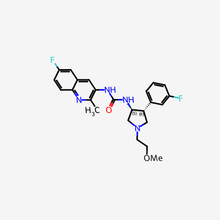 COCCN1C[C@@H](NC(=O)Nc2cc3cc(F)ccc3nc2C)[C@H](c2cccc(F)c2)C1